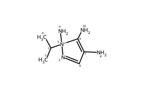 CC(C)[N+]1(N)N=CC(N)=C1N